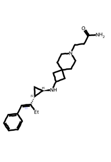 CC/C(=C\c1ccccc1)[C@@H]1C[C@H]1NC1CC2(CCN(CCC(N)=O)CC2)C1